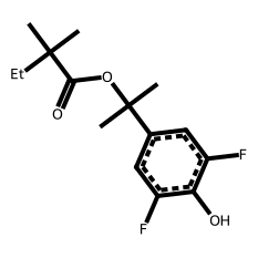 CCC(C)(C)C(=O)OC(C)(C)c1cc(F)c(O)c(F)c1